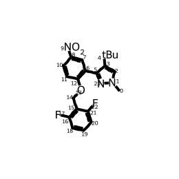 Cn1cc(C(C)(C)C)c(-c2cc([N+](=O)[O-])ccc2OCc2c(F)cccc2F)n1